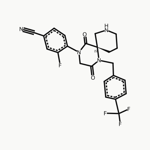 N#Cc1ccc(N2CC(=O)N(Cc3ccc(C(F)(F)F)cc3)[C@]3(CCCNC3)C2=O)c(F)c1